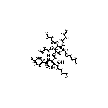 CCCCC[C@@H](O)[C@@H](O)[C@H](COC1OC(COCCCC)C(OCCCC)C(OCCCC)C1OCCCC)NC(=O)c1ccc(C)cc1